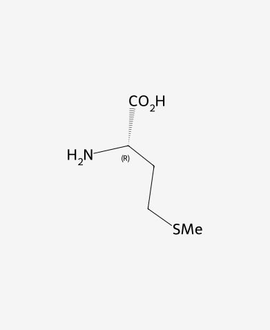 CSCC[C@H](N)[11C](=O)O